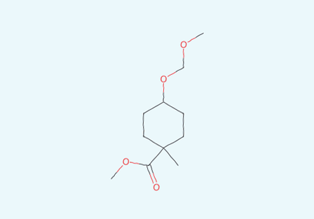 COCOC1CCC(C)(C(=O)OC)CC1